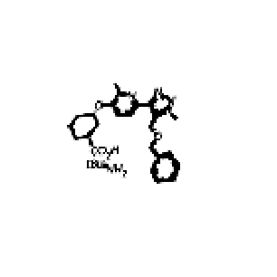 CC(C)(C)N.Cc1nc(-c2nnn(C)c2COCc2ccccc2)ccc1O[C@H]1CCC[C@H](C(=O)O)C1